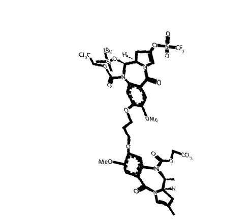 COc1cc2c(cc1OCCCOc1cc3c(cc1OC)C(=O)N1C=C(OS(=O)(=O)C(F)(F)F)C[C@@H]1[C@H](O[Si](C)(C)C(C)(C)C)N3C(=O)OCC(Cl)(Cl)Cl)N(C(=O)OCC(Cl)(Cl)Cl)[C@@H](C)[C@@H]1CC(C)=CN1C2=O